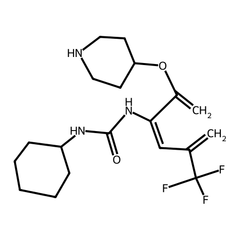 C=C(OC1CCNCC1)/C(=C\C(=C)C(F)(F)F)NC(=O)NC1CCCCC1